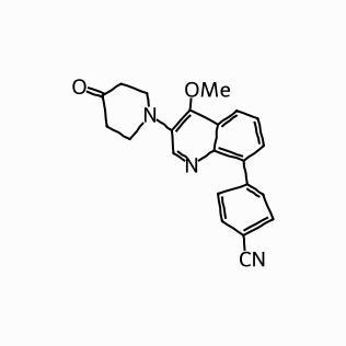 COc1c(N2CCC(=O)CC2)cnc2c(-c3ccc(C#N)cc3)cccc12